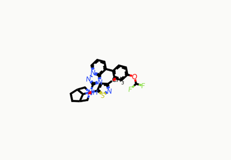 Cc1cc(N2CC3CCC(C2)C3Nc2nc3c(-c4ccc(OC(F)F)cc4)cccn3n2)sn1